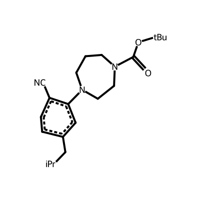 CC(C)Cc1ccc(C#N)c(N2CCCN(C(=O)OC(C)(C)C)CC2)c1